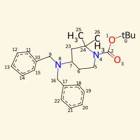 CC(C)(C)OC(=O)N1CCC(N(Cc2ccccc2)Cc2ccccc2)CC1(C)C